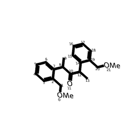 COCc1ccccc1C(C)C(=O)C(C)c1ccccc1COC